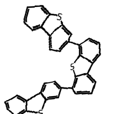 c1ccc2c(c1)sc1cc(-c3cccc4c3sc3c(-c5ccc6c(c5)sc5ccccc56)cccc34)ccc12